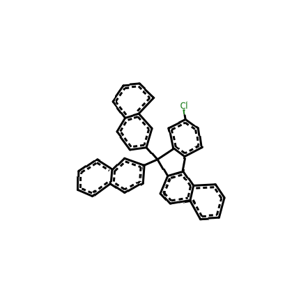 Clc1ccc2c(c1)C(c1ccc3ccccc3c1)(c1ccc3ccccc3c1)c1ccc3ccccc3c1-2